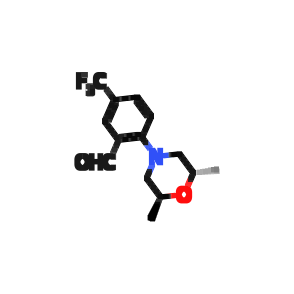 C[C@H]1CN(c2ccc(C(F)(F)F)cc2C=O)C[C@H](C)O1